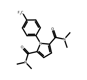 CN(C)C(=O)c1ccc(C(=O)N(C)C)n1-c1ccc(C(F)(F)F)cc1